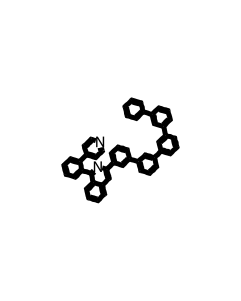 c1ccc(-c2cccc(-c3cccc(-c4cccc(-c5cccc(-c6cc7ccccc7c(-c7ccccc7-c7ccncc7)n6)c5)c4)c3)c2)cc1